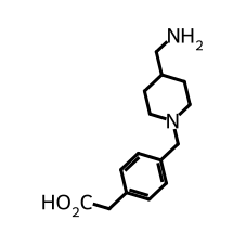 NCC1CCN(Cc2ccc(CC(=O)O)cc2)CC1